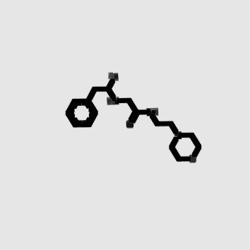 [2H]C(Cc1ccccc1)NCC(=O)NCCN1CCOCC1